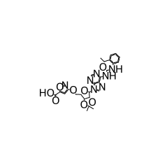 CCc1ccccc1NC(=O)Nc1ncnc2c1ncn2C1OC(COc2cc(C(=O)O)on2)C2OC(C)(C)OC21